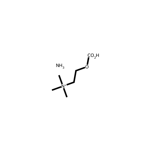 C[N+](C)(C)CCOC(=O)O.N